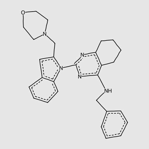 c1ccc(CNc2nc(-n3c(CN4CCOCC4)cc4ccccc43)nc3c2CCCC3)cc1